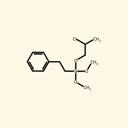 CO[Si](CCc1ccccc1)(OC)OCC(C)Cl